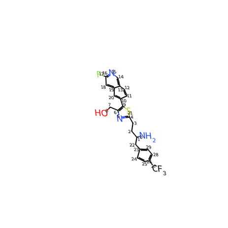 NC(CCc1nc(CO)c(-c2ccc3cnc(F)cc3c2)s1)Cc1ccc(C(F)(F)F)cc1